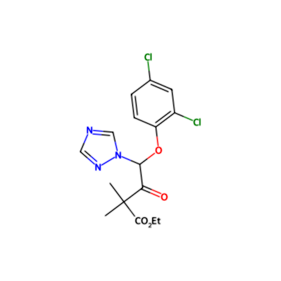 CCOC(=O)C(C)(C)C(=O)C(Oc1ccc(Cl)cc1Cl)n1cncn1